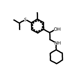 Cc1cc(C(O)CNC2CCCCC2)ccc1SC(C)C